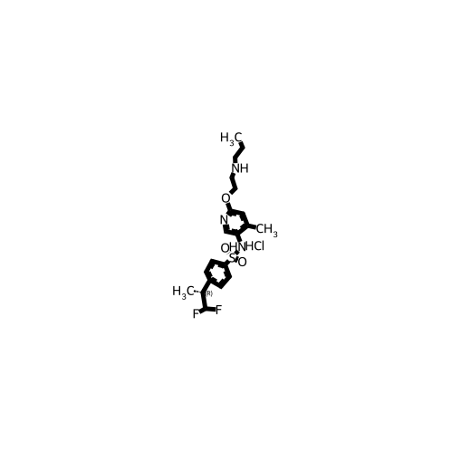 CCCNCCOc1cc(C)c(NS(=O)(=O)c2ccc([C@@H](C)C(F)F)cc2)cn1.Cl